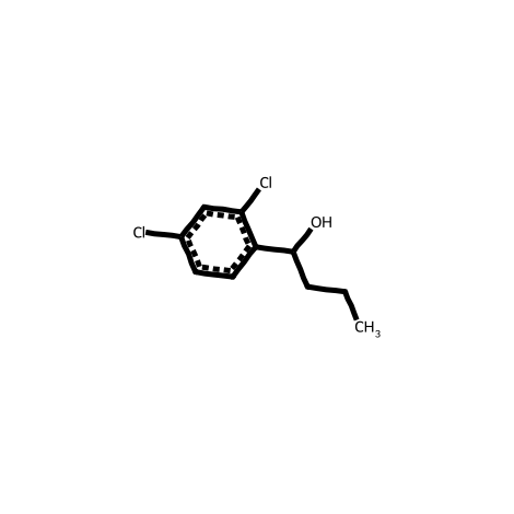 CCCC(O)c1ccc(Cl)cc1Cl